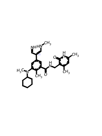 CN/C=C(\C=N)c1cc(C(=O)NCc2c(C)cc(C)[nH]c2=O)c(C)c(N(C)C2CCCCC2)c1